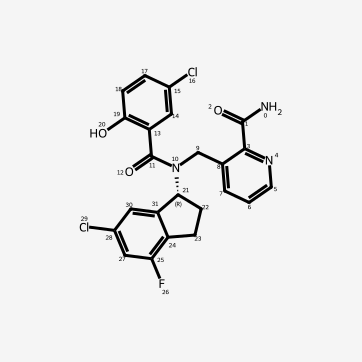 NC(=O)c1ncccc1CN(C(=O)c1cc(Cl)ccc1O)[C@@H]1CCc2c(F)cc(Cl)cc21